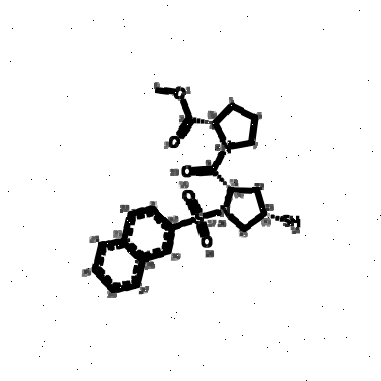 COC(=O)[C@@H]1CCCN1C(=O)[C@@H]1C[C@H](S)CN1S(=O)(=O)c1ccc2ccccc2c1